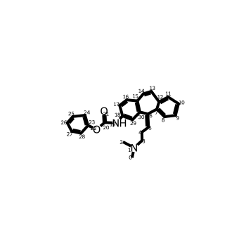 CN(C)CC/C=C1/c2ccccc2C=Cc2ccc(NC(=O)Oc3ccccc3)cc21